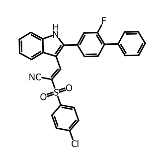 N#CC(=Cc1c(-c2ccc(-c3ccccc3)c(F)c2)[nH]c2ccccc12)S(=O)(=O)c1ccc(Cl)cc1